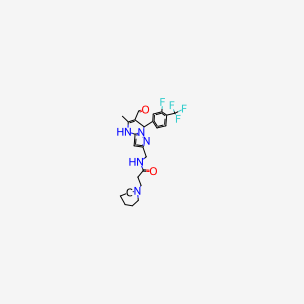 CC1=C(C=O)C(c2ccc(C(F)(F)F)c(F)c2)n2nc(CNC(=O)CCN3CCCCC3)cc2N1